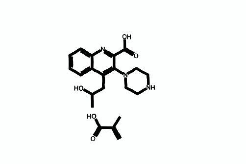 C=C(C)C(=O)O.CC(O)Cc1c(N2CCNCC2)c(C(=O)O)nc2ccccc12